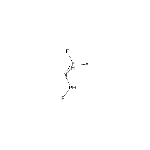 FPN=[PH](F)F